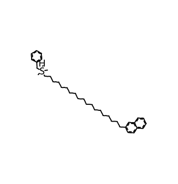 C[SH](C)(C)(CCCCCCCCCCCCCCCCCCCc1ccc2ccccc2c1)Cc1ccccc1